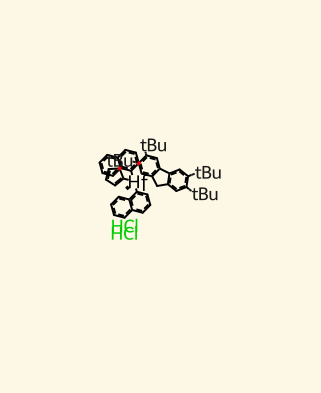 Cl.Cl.[CH2]=[Hf]([C]1=CC=CC1)([c]1c2c(cc(C(C)(C)C)c1C(C)(C)C)-c1cc(C(C)(C)C)c(C(C)(C)C)cc1C2)([c]1cccc2ccccc12)[c]1cccc2ccccc12